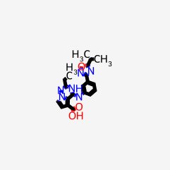 CCc1nc(Nc2cccc(-c3noc(C(C)C)n3)c2)c2c(C(=O)O)ccn2n1